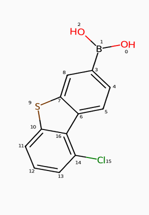 OB(O)c1ccc2c(c1)sc1cccc(Cl)c12